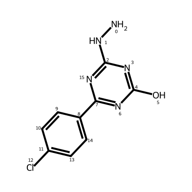 NNc1nc(O)nc(-c2ccc(Cl)cc2)n1